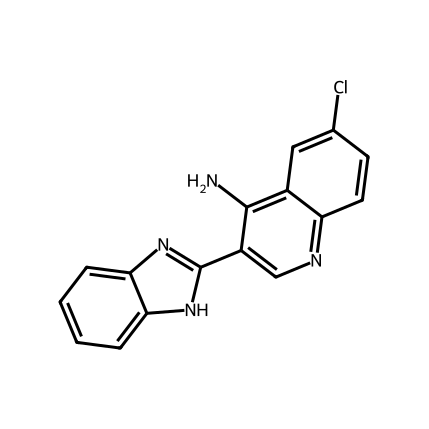 Nc1c(-c2nc3ccccc3[nH]2)cnc2ccc(Cl)cc12